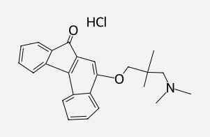 CN(C)CC(C)(C)COc1cc2c(c3ccccc13)-c1ccccc1C2=O.Cl